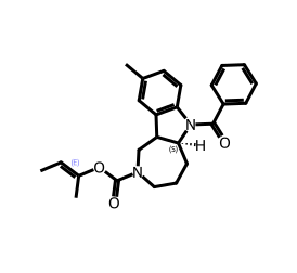 C/C=C(\C)OC(=O)N1CCC[C@H]2C(C1)c1cc(C)ccc1N2C(=O)c1ccccc1